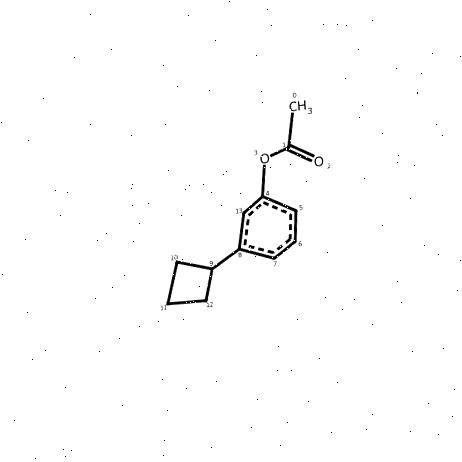 CC(=O)Oc1cccc(C2CCC2)c1